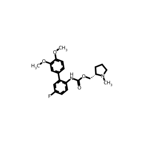 COc1ccc(-c2cc(F)ccc2NC(=O)OC[C@@H]2CCCN2C)cc1OC